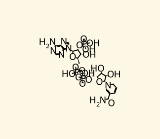 NC(=O)C1=CN([C@@H]2O[C@H](COP(=O)(O)OP(=O)(O)OC[C@H]3O[C@@H](n4cnc5c(N)ncnc54)[C@H](OP(=O)(O)O)[C@@H]3O)[C@@H](O)[C@H]2O)CC=C1